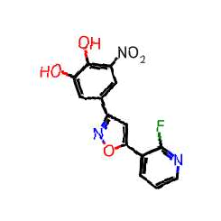 O=[N+]([O-])c1cc(-c2cc(-c3cccnc3F)on2)cc(O)c1O